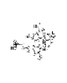 CNC(=O)c1cc(Br)ccc1Nc1nc(Nc2ccc(CCCC[PH](=O)O)cc2OC)ncc1C(F)(F)F